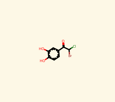 O=C(c1ccc(O)c(O)c1)C(Cl)Br